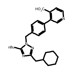 CCCCc1nc(CC2CCCCC2)nn1Cc1ccc(-c2cnccc2C(=O)O)cc1